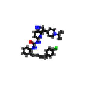 CCC(CC)N1CCC(c2c[nH]c3ccc(NC(=O)Nc4ccccc4C=O)nc23)CC1.O=C(O)c1ccc(Cl)cc1